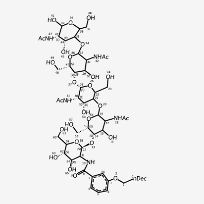 CCCCCCCCCCCOc1cccc(C(=O)NC2[C@H](O[C@H]3C(O)C(NC(C)=O)C(OC4C(CO)O[C@@H](O[C@H]5C(O)C(NC(C)=O)C(OC6C(CO)OC(O)[C@@H](NC(C)=O)[C@H]6O)O[C@H]5CO)[C@@H](NC(C)=O)[C@H]4O)O[C@H]3CO)OC(CO)[C@@H](O)[C@@H]2O)c1